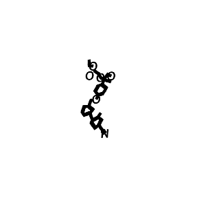 CCOC(=O)COC1(c2ccc(OCc3cccc(-c4ccc(C#N)cc4C)c3)cc2)COC1